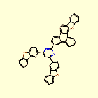 c1ccc2c(c1)sc1ccc(-c3cc(-c4ccc5sc6ccccc6c5c4)nc(-c4ccc5c(c4)c4ccccc4c4c5ccc5c6ccccc6sc54)n3)cc12